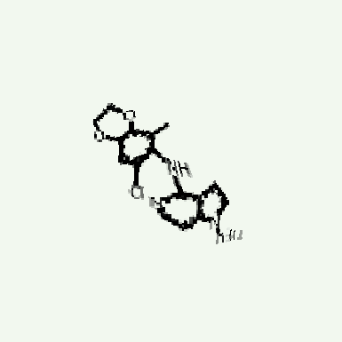 CCCCn1ccc2c(Nc3c(Cl)cc4c(c3C)OCCO4)nccc21